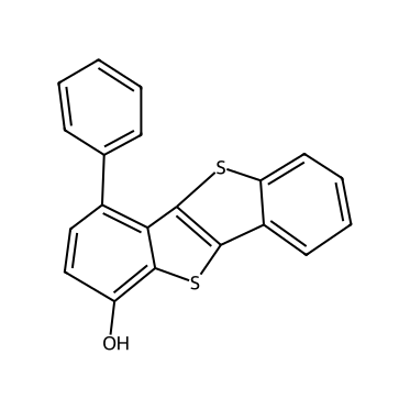 Oc1ccc(-c2ccccc2)c2c1sc1c3ccccc3sc12